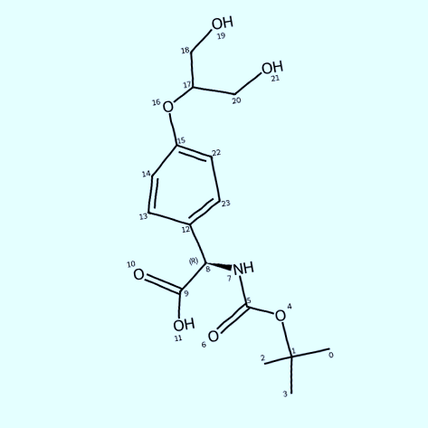 CC(C)(C)OC(=O)N[C@@H](C(=O)O)c1ccc(OC(CO)CO)cc1